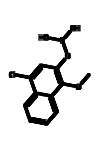 COc1c(OB(O)O)cc(Cl)c2ccccc12